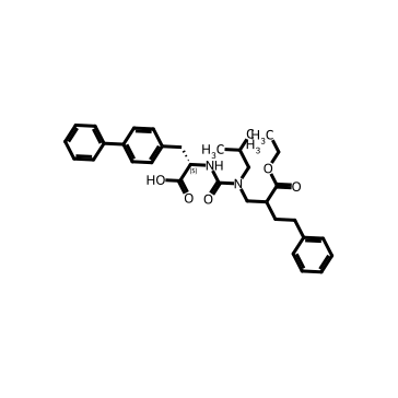 CCOC(=O)C(CCc1ccccc1)CN(CC(C)C)C(=O)N[C@@H](Cc1ccc(-c2ccccc2)cc1)C(=O)O